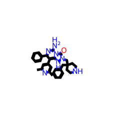 Cc1cc(-c2c(-c3ccccc3)nc(N)[n+]3c(=O)n(CC4(Cc5ccccc5)CCNCC4)[nH]c23)cc(C)n1